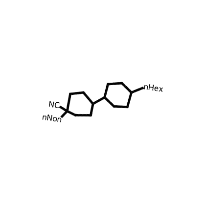 CCCCCCCCCC1(C#N)CCC(C2CCC(CCCCCC)CC2)CC1